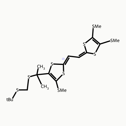 CSC1=C(SC)SC(=C/C=C2\SC(SC)=C(C(C)(C)SCSC(C)(C)C)S2)S1